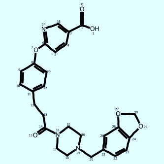 O=C(O)c1ccc(Oc2ccc(CCC(=O)N3CCN(Cc4ccc5c(c4)OCO5)CC3)cc2)nc1